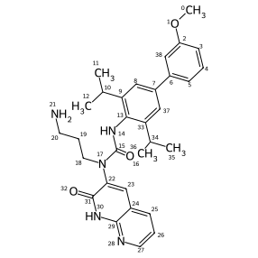 COc1cccc(-c2cc(C(C)C)c(NC(=O)N(CCCN)c3cc4cccnc4[nH]c3=O)c(C(C)C)c2)c1